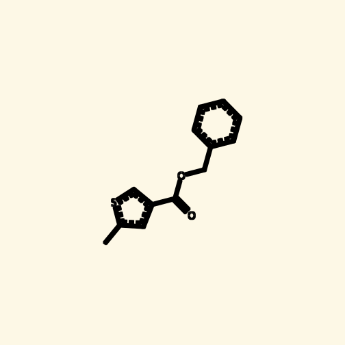 Cc1cc(C(=O)OCc2ccccc2)cs1